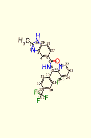 Cc1nc2cc(C(=O)N[C@@H](c3ccc(C(F)(F)F)cc3)c3ncccc3F)ccc2[nH]1